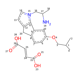 CC(C)COc1ccc2c(c1)-c1c(ccn1CC(C)N)C2.O=C(O)/C=C/C(=O)O